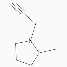 C#CCN1CCCC1C